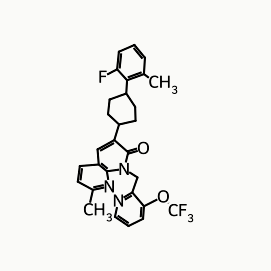 Cc1ccc2cc(C3CCC(c4c(C)cccc4F)CC3)c(=O)n(Cc3ncccc3OC(F)(F)F)c2n1